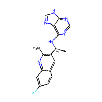 CCCCc1nc2cc(F)ccc2cc1[C@H](C)Nc1ncnc2[nH]cnc12